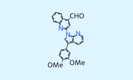 COc1ccc(-c2cn(-c3cc(C=O)c4ccccc4n3)c3ncccc23)cc1OC